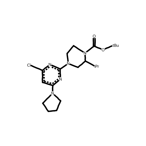 CC(C)C1CN(c2nc(Cl)cc(N3CCCC3)n2)CCN1C(=O)OC(C)(C)C